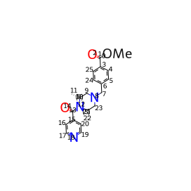 COC(=O)c1ccc(CN2C[C@@H](C)N(C(=O)c3ccncc3)[C@@H](C)C2)cc1